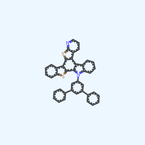 c1ccc(-c2cc(-c3ccccc3)cc(-n3c4ccccc4c4c5c6cccnc6sc5c5c6ccccc6sc5c43)c2)cc1